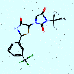 CC(C)(C)N1C(=O)CN(C2SC(c3cccc(C(F)(F)F)c3)NC2=O)C1=O